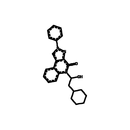 O=c1c2nn(-c3ccccc3)cc2c2ccccc2n1C(O)CC1CCCCC1